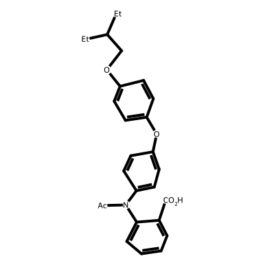 CCC(CC)COc1ccc(Oc2ccc(N(C(C)=O)c3ccccc3C(=O)O)cc2)cc1